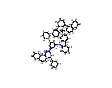 c1ccc(-c2cc(-c3nc(-c4ccccc4)c4ccc5ccccc5c4n3)cc(-n3c4ccccc4c4cc5c(cc43)C3(c4ccccc4-c4ccccc43)c3cc4ccccc4cc3-5)c2)cc1